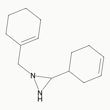 C1=CCC(C2NN2CC2=CCCCC2)CC1